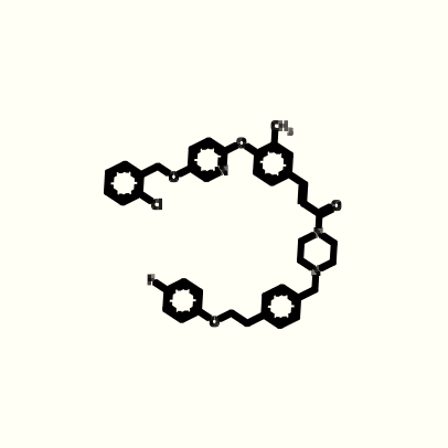 Cc1cc(C=CC(=O)N2CCN(Cc3ccc(CCOc4ccc(F)cc4)cc3)CC2)ccc1Oc1ccc(OCc2ccccc2Cl)cn1